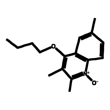 CCCCOc1c(C)c(C)[n+]([O-])c2ccc(C)cc12